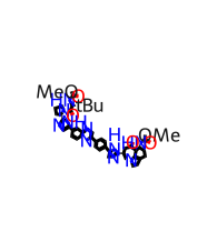 COC(=O)N[C@H]1CCc2ccn3c2C1C(=O)C[C@H](c1ncc(-c2ccc(-c4cnc5cc(-c6cnc([C@@H]7CCCN7C(=O)[C@@H](NC(=O)OC)C(C)(C)C)[nH]6)ccc5n4)cc2)[nH]1)C3